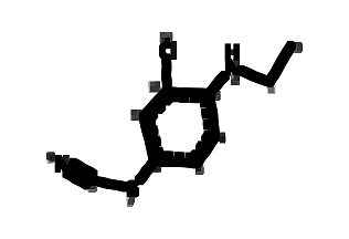 CCNc1ccc(SC#N)cc1Cl